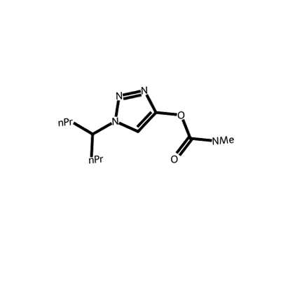 CCCC(CCC)n1cc(OC(=O)NC)nn1